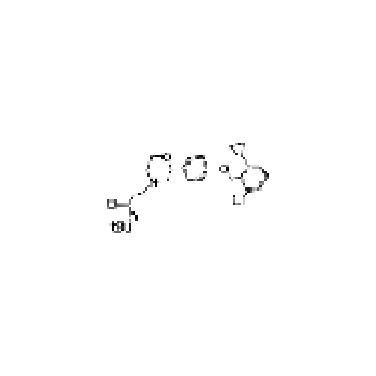 CC(C)(C)OC(=O)CCN1CCOC(c2ccc(OCc3c(Cl)cccc3C3CC3)cc2)C1